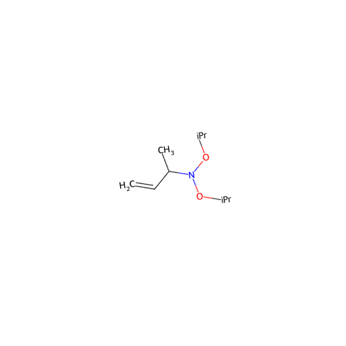 C=CC(C)N(OC(C)C)OC(C)C